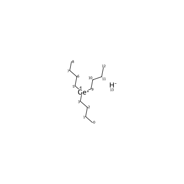 CCC[CH2][Ge+]([CH2]CCC)[CH2]CCC.[H-]